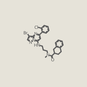 CN(CCCNc1cc(-c2ccccc2Cl)nc2c(Br)cnn12)C(=O)C1CCc2ccccc2C1